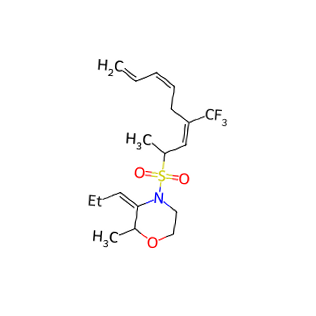 C=C/C=C\C/C(=C\C(C)S(=O)(=O)N1CCOC(C)/C1=C\CC)C(F)(F)F